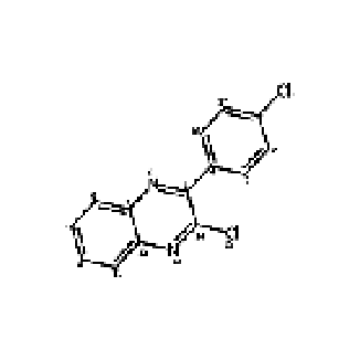 Clc1ccc(-c2nc3ccccc3nc2Cl)cc1